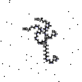 CC/C=C\C/C=C\C/C=C\C/C=C\C/C=C\C/C=C\CCC(=O)O.CC/C=C\C/C=C\C/C=C\C/C=C\C/C=C\CCCC(=O)O.CC/C=C\C/C=C\C/C=C\CCCCCCCC(=O)O